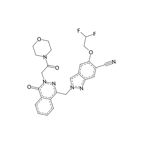 N#Cc1cc2nn(Cc3nn(CC(=O)N4CCOCC4)c(=O)c4ccccc34)cc2cc1OCC(F)F